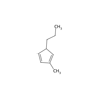 CCCC1[C]=CC(C)=C1